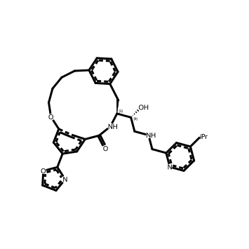 CC(C)c1ccnc(CNC[C@@H](O)[C@@H]2Cc3cccc(c3)CCCCOc3cc(cc(-c4ncco4)c3)C(=O)N2)c1